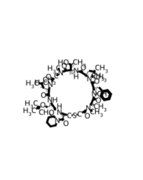 CC(C)C[C@H]1C(=O)N[C@@H](COC(C)(C)C)C(=O)N[C@H](C(=O)N2CCCCC2)CSCC(=O)N(C)[C@@H](C)C(=O)N(C)[C@@H](Cc2ccccc2)C(=O)N(C)[C@@H](CC(C)C)C(=O)N[C@@H]([C@@H](C)O)C(=O)N(C)CC(=O)N1C